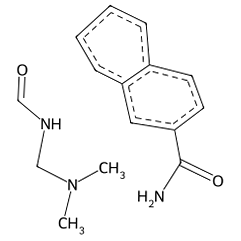 CN(C)CNC=O.NC(=O)c1ccc2ccccc2c1